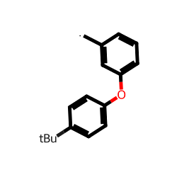 [CH2]c1cccc(Oc2ccc(C(C)(C)C)cc2)c1